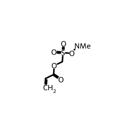 C=CC(=O)OCS(=O)(=O)ONC